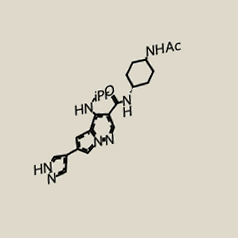 CC(=O)N[C@H]1CC[C@H](NC(=O)c2cnn3cc(-c4cn[nH]c4)cc3c2NC(C)C)CC1